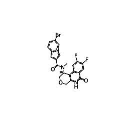 CN(C(=O)c1cc2ccc(Br)cn2c1)[C@H]1COCc2[nH]c(=O)c3cc(F)c(F)cc3c21